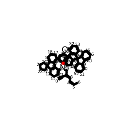 C#C/C(=C\C=C/C)CN(C1=CCCC2=C1c1ccccc1C21CCCC1)c1ccc2oc3cccc(C4(c5ccccc5)c5ccccc5-c5ccccc54)c3c2c1